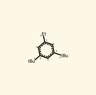 CCc1cc(C(C)(C)C)cc(C(C)(C)C)c1